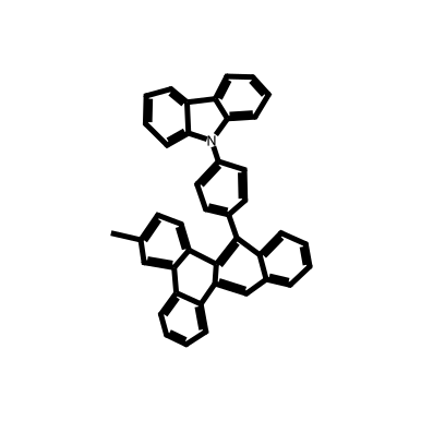 Cc1ccc2c(c1)c1ccccc1c1cc3ccccc3c(-c3ccc(-n4c5ccccc5c5ccccc54)cc3)c21